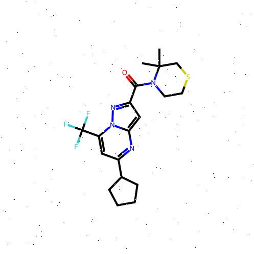 CC1(C)CSCCN1C(=O)c1cc2nc(C3CCCC3)cc(C(F)(F)F)n2n1